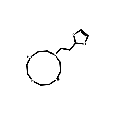 C1=COC(CCN2CCNCCNCCNCC2)O1